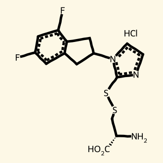 Cl.N[C@@H](CSSc1nccn1C1Cc2cc(F)cc(F)c2C1)C(=O)O